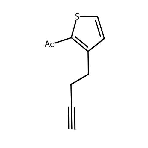 C#CCCc1ccsc1C(C)=O